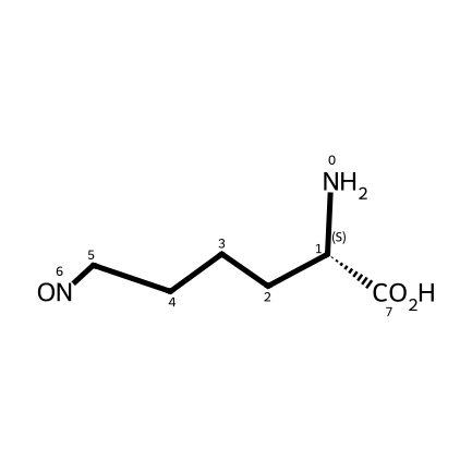 N[C@@H](CCCCN=O)C(=O)O